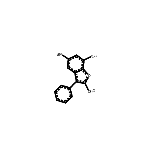 CC(C)(C)c1cc(C(C)(C)C)c2oc(C=O)c(-c3ccccc3)c2c1